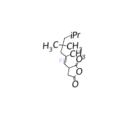 C/C(=C\C1CC(=O)OC1=O)CC(C)(C)CC(C)C